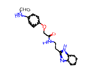 O=CNc1ccc(OCC(=O)NCCc2nc3ccccc3[nH]2)cc1